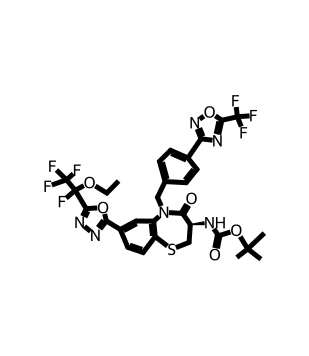 CCOC(F)(c1nnc(-c2ccc3c(c2)N(Cc2ccc(-c4noc(C(F)(F)F)n4)cc2)C(=O)[C@@H](NC(=O)OC(C)(C)C)CS3)o1)C(F)(F)F